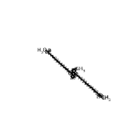 CCOC(=O)CCCCCCCCCCCCCCCCCCCCOc1c2ccccc2c(OCCCCCCCCCCCCCCCCCCCCC(=O)OCC)c2cc(CC)ccc12